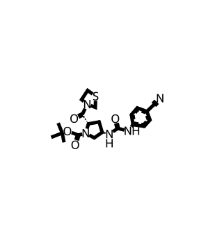 CC(C)(C)OC(=O)N1C[C@@H](NC(=O)Nc2ccc(C#N)cc2)C[C@H]1C(=O)N1CCSC1